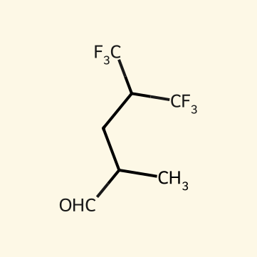 CC(C=O)CC(C(F)(F)F)C(F)(F)F